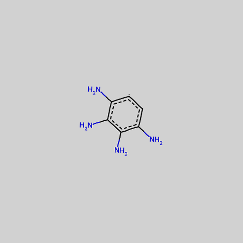 Nc1[c]cc(N)c(N)c1N